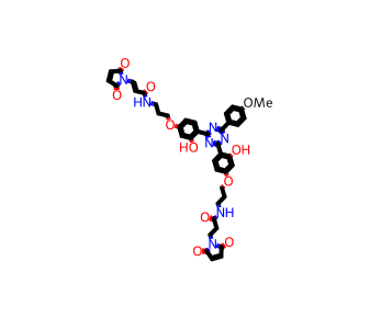 COc1ccc(-c2nc(-c3ccc(OCCCNC(=O)C=CN4C(=O)C=CC4=O)cc3O)nc(-c3ccc(OCCCNC(=O)CCN4C(=O)C=CC4=O)cc3O)n2)cc1